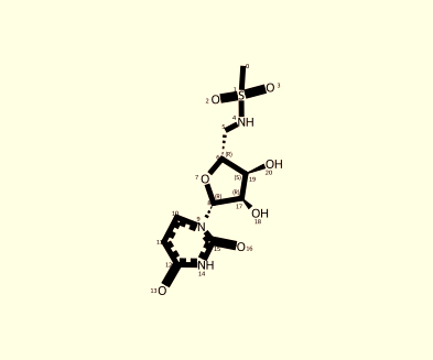 CS(=O)(=O)NC[C@H]1O[C@@H](n2ccc(=O)[nH]c2=O)[C@H](O)[C@@H]1O